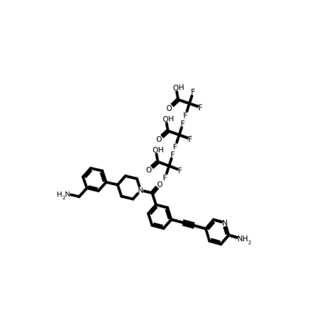 NCc1cccc(C2CCN(C(=O)c3cccc(C#Cc4ccc(N)nc4)c3)CC2)c1.O=C(O)C(F)(F)F.O=C(O)C(F)(F)F.O=C(O)C(F)(F)F